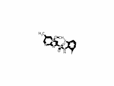 CO[N+]12C=C(C)C=NC1=NC(S(=O)(=O)Nc1c(F)cccc1F)=C2